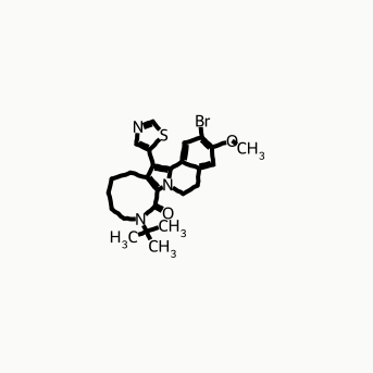 COc1cc2c(cc1Br)-c1c(-c3cncs3)c3c(n1CC2)C(=O)N(C(C)(C)C)CCCCC3